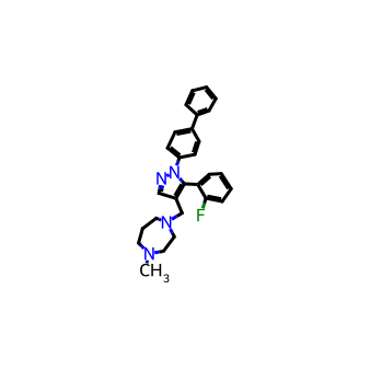 CN1CCCN(Cc2cnn(-c3ccc(-c4ccccc4)cc3)c2-c2ccccc2F)CC1